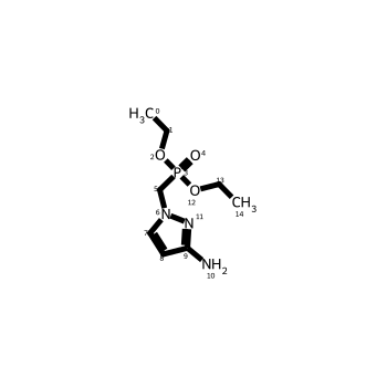 CCOP(=O)(Cn1ccc(N)n1)OCC